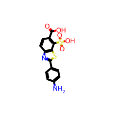 Nc1ccc(-c2nc3ccc(C(=O)O)c(S(=O)(=O)O)c3s2)cc1